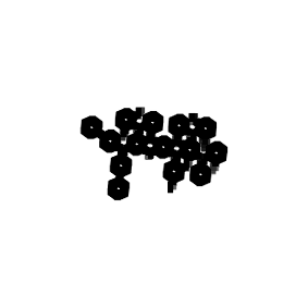 Fc1ccc(N2c3cc4c(cc3B3c5ccccc5N(c5c(F)cccc5F)c5cc(N(c6ccccc6)c6c(F)cccc6F)cc2c53)B2c3ccccc3N(c3c(F)cccc3F)c3cc(N(c5ccc(-c6ccccc6)cc5)c5ccc(-c6ccccc6)cc5)cc(c32)S4)c(F)c1